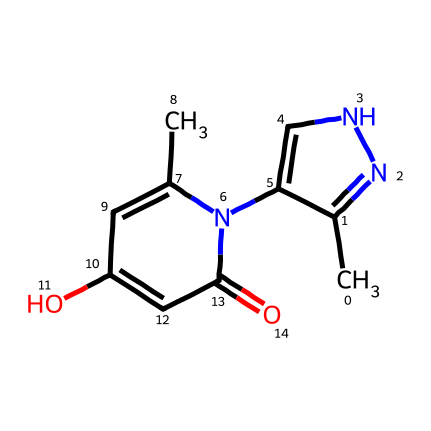 Cc1n[nH]cc1-n1c(C)cc(O)cc1=O